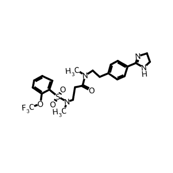 CN(CCc1ccc(C2=NCCN2)cc1)C(=O)CCN(C)S(=O)(=O)c1ccccc1OC(F)(F)F